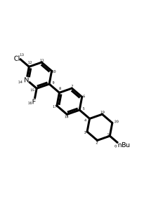 CCCCC1CCC(c2ccc(-c3ccc(Cl)nc3F)cc2)CC1